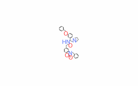 O=C(Cc1ccc2oc(=O)n(Cc3ccccc3)c2c1)NC(CN1CCCC1)c1cccc(OCc2ccccc2)c1